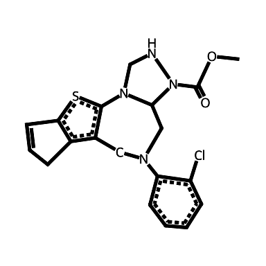 COC(=O)N1NCN2c3sc4c(c3CN(c3ccccc3Cl)CC12)CC=C4